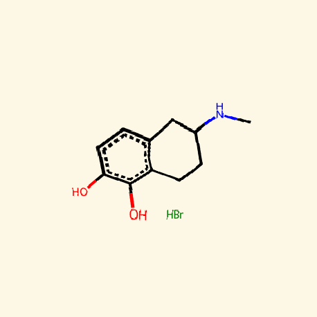 Br.CNC1CCc2c(ccc(O)c2O)C1